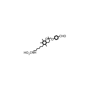 Cc1c(C)c2c(c(C)c1CCCCCCNC(=O)O)CCC(C)(COc1ccc(C=O)cc1)O2